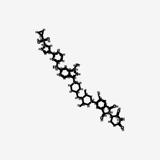 CC1CN(c2cc3c(cc2F)C(=O)N(C2CCC(=O)NC2=O)C3=O)CC(C)N1CC1CCN(c2nn(C(C)C)c3cc(Nc4ccnc(-c5cnn(S(=O)(=O)C6CC6)c5)n4)ncc23)CC1